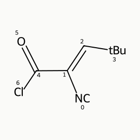 [C-]#[N+]/C(=C\C(C)(C)C)C(=O)Cl